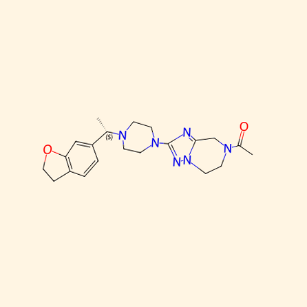 CC(=O)N1CCn2nc(N3CCN([C@@H](C)c4ccc5c(c4)OCC5)CC3)nc2C1